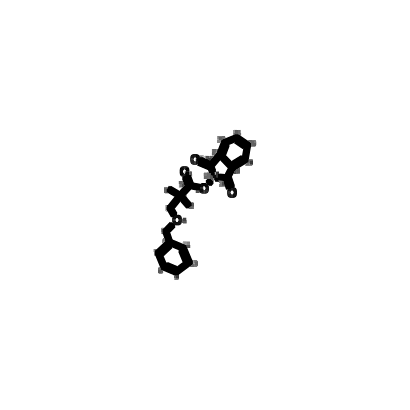 CC(C)(COCc1ccccc1)C(=O)ON1C(=O)c2ccccc2C1=O